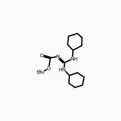 CC(C)(C)OC(=O)N=C(NC1CCCCC1)NC1CCCCC1